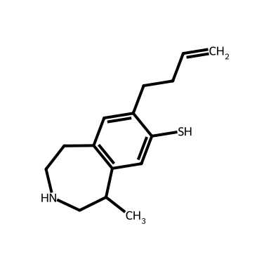 C=CCCc1cc2c(cc1S)C(C)CNCC2